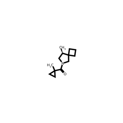 C[C@@H]1CN(C(=O)C2(C)CC2)CC12CCC2